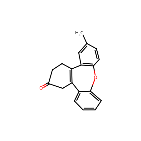 Cc1ccc2c(c1)C1=C(CC(=O)CC1)c1ccccc1O2